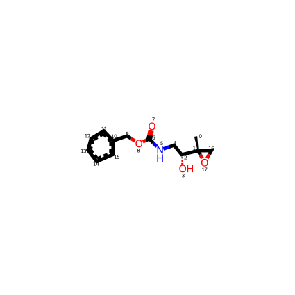 C[C@@]1([C@H](O)CNC(=O)OCc2ccccc2)CO1